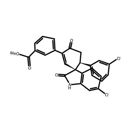 COC(=O)c1cccc(C2=C[C@@]3(C(=O)Nc4cc(Cl)ccc43)[C@H](c3cccc(Cl)c3)CC2=O)c1